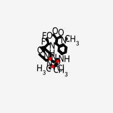 CN(C)C(=O)C1CC2COCC(C1)N2c1ncc(Cl)c(Nc2ccc3c(c2)c2c(c(=O)n3C)C(=O)OC(F)(F)C(C3CC3)N2)n1